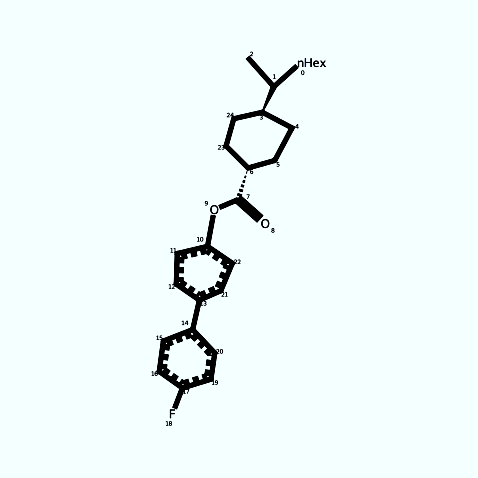 CCCCCCC(C)[C@H]1CC[C@H](C(=O)Oc2ccc(-c3ccc(F)cc3)cc2)CC1